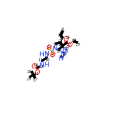 C=CC[C@@H]1CN(S(=O)(=O)NCCNC(=O)OC(C)(C)C)C[C@]1(N=[N+]=[N-])C(=O)OCC